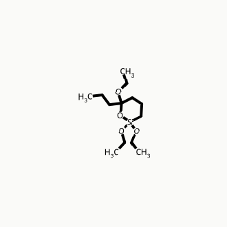 CCCC1(OCC)CCC[Si](OCC)(OCC)O1